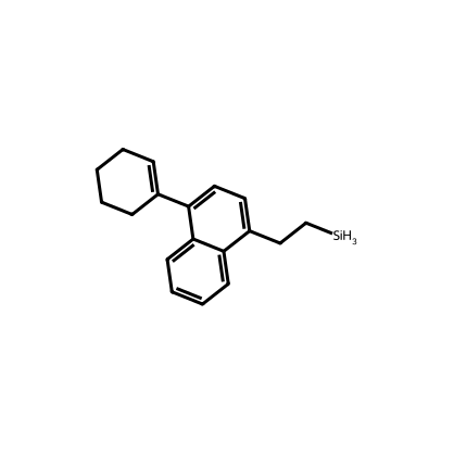 [SiH3]CCc1ccc(C2=CCCCC2)c2ccccc12